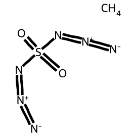 C.[N-]=[N+]=NS(=O)(=O)N=[N+]=[N-]